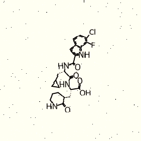 O=C(N[C@@H](CC1CC1)C(=O)N[C@@H](C[C@@H]1CCCNC1=O)C(=O)O)c1cc2ccc(Cl)c(F)c2[nH]1